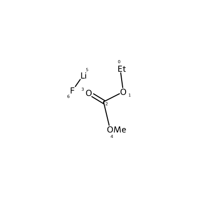 CCOC(=O)OC.[Li][F]